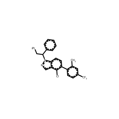 Cc1cc(C(F)(F)F)ccc1-c1ccc2c(cnn2C(CC(C)C)c2ccccc2)c1Cl